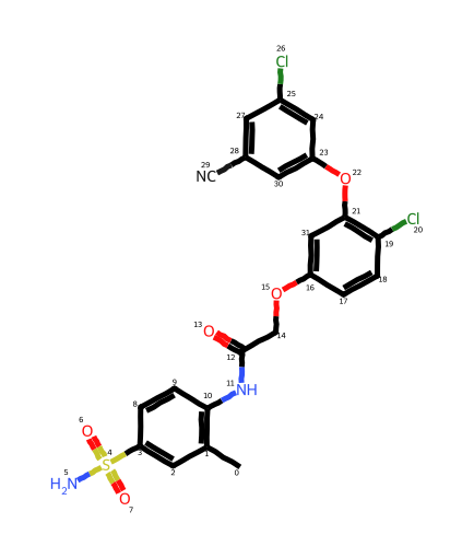 Cc1cc(S(N)(=O)=O)ccc1NC(=O)COc1ccc(Cl)c(Oc2cc(Cl)cc(C#N)c2)c1